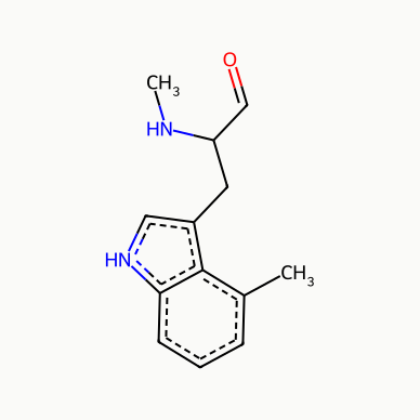 CNC(C=O)Cc1c[nH]c2cccc(C)c12